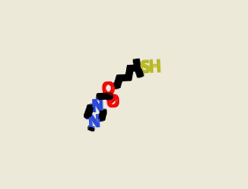 CN1CCN(CC(=O)OCCCCC(C)(C)S)CC1